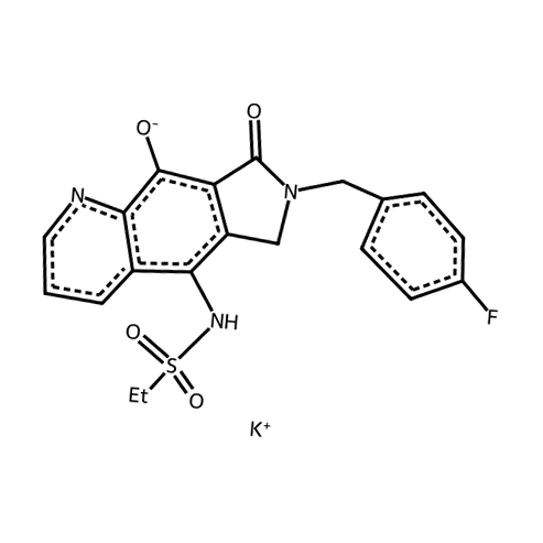 CCS(=O)(=O)Nc1c2c(c([O-])c3ncccc13)C(=O)N(Cc1ccc(F)cc1)C2.[K+]